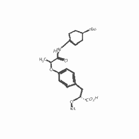 CCO[C@H](Cc1ccc(OC(C)C(=O)NC2CCC(C(C)(C)C)CC2)cc1)C(=O)O